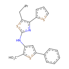 CC(C)Cc1sc(Nc2cc(-c3ccccc3)sc2C(=O)O)nc1-c1cccs1